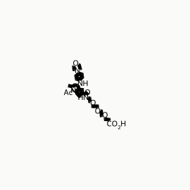 CC(=O)N1c2ccc(C(=O)NCCOCCOCCOCCC(=O)O)cc2C(Nc2ccc(N3CCOCC3)cc2)CC1C